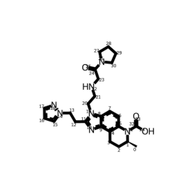 C[C@H]1CCc2c(ccc3c2nc(CCn2cccn2)n3CCNCC(=O)N2CCCC2)N1C(=O)O